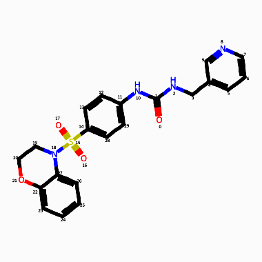 O=C(NCc1cccnc1)Nc1ccc(S(=O)(=O)N2CCOc3ccccc32)cc1